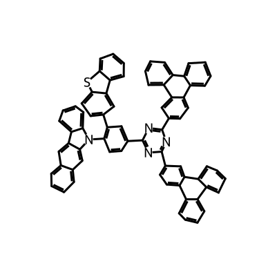 c1ccc2cc3c(cc2c1)c1ccccc1n3-c1ccc(-c2nc(-c3ccc4c5ccccc5c5ccccc5c4c3)nc(-c3ccc4c5ccccc5c5ccccc5c4c3)n2)cc1-c1ccc2sc3ccccc3c2c1